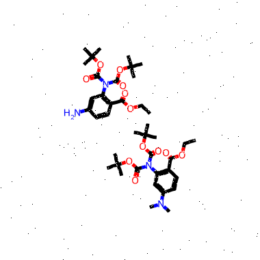 CCOC(=O)c1ccc(N(C)C)cc1N(C(=O)OC(C)(C)C)C(=O)OC(C)(C)C.CCOC(=O)c1ccc(N)cc1N(C(=O)OC(C)(C)C)C(=O)OC(C)(C)C